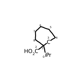 CC(C)C1(C(=O)O)CCCCCC1